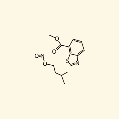 CC(C)CCON=O.COC(=O)c1cccc2ncsc12